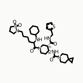 O=C(NCc1cccs1)[C@H]1CN(C(=O)C(CCCCN2CCCS2(=O)=O)NC2CCCCC2)CC[C@H]1NC(=O)N1CCC2(CC1)CC2